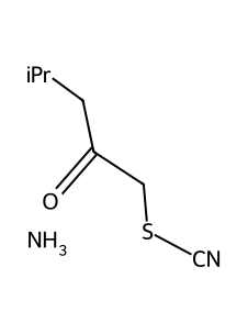 CC(C)CC(=O)CSC#N.N